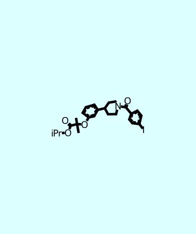 CC(C)OC(=O)C(C)(C)Oc1cccc(C2CCN(C(=O)c3ccc(I)cc3)CC2)c1